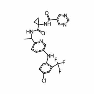 CC(NC(=O)C1(NC(=O)c2cncnc2)CC1)c1ccc(Nc2ccc(Cl)cc2C(F)(F)F)cn1